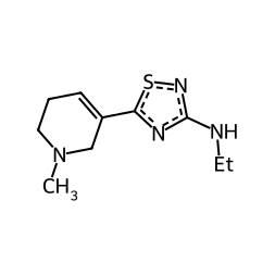 CCNc1nsc(C2=CCCN(C)C2)n1